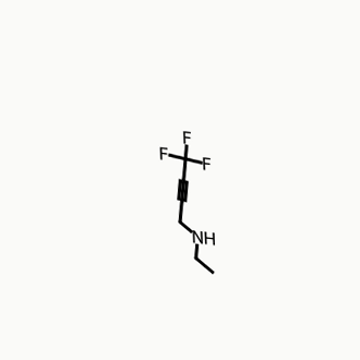 CCNCC#CC(F)(F)F